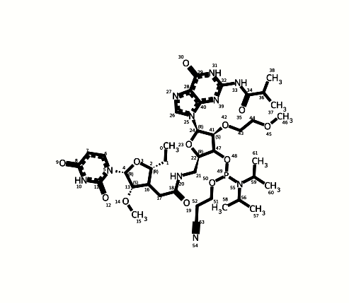 CC[C@H]1O[C@@H](n2ccc(=O)[nH]c2=O)[C@@H](OC)C1CC(=O)NC[C@H]1O[C@@H](n2cnc3c(=O)[nH]c(NC(=O)C(C)C)nc32)[C@@H](OCCOC)C1OP(OCCC#N)N(C(C)C)C(C)C